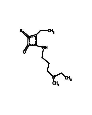 CCc1c(NCCCN(C)CC)c(=O)c1=S